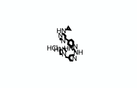 Cl.c1cc(CN2CCNCC2)cc(Nc2nc3ccc(-c4cc(NC5CC5)ncn4)cc3[nH]2)n1